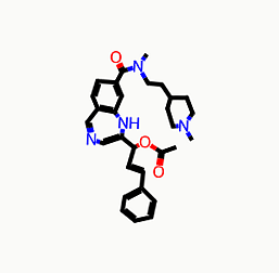 CC(=O)OC(C=Cc1ccccc1)C1=CN=Cc2ccc(C(=O)N(C)CCC3CCN(C)CC3)cc2N1